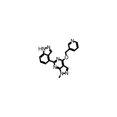 Cn1ncc2c(OCc3cccnc3)nc(-c3cccc4[nH]ncc34)nc21